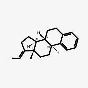 C[C@]12CC[C@@H]3c4ccccc4CC[C@H]3[C@@H]1CCC2=CF